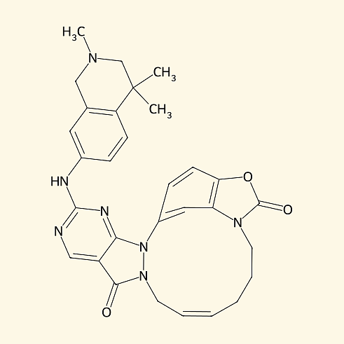 CN1Cc2cc(Nc3ncc4c(=O)n5n(c4n3)-c3ccc4oc(=O)n(c4c3)CCC/C=C\C5)ccc2C(C)(C)C1